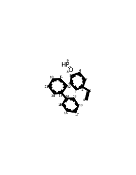 C=Cc1ccccc1.O=P.c1ccc(-c2ccccc2)cc1